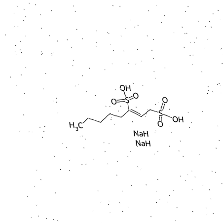 CCCCCC(=CCS(=O)(=O)O)S(=O)(=O)O.[NaH].[NaH]